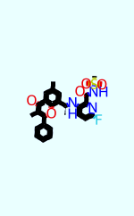 Cc1cc([C@@H](C)Nc2ccc(F)nc2C(=O)NS(C)(=O)=O)c2oc(-c3ccccc3)c(C)c(=O)c2c1